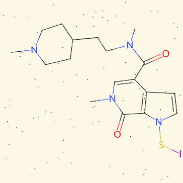 CN1CCC(CCN(C)C(=O)c2cn(C)c(=O)c3c2ccn3SI)CC1